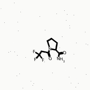 NC(=O)C1CCCN1C(=O)CC(F)(F)F